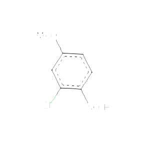 COc1ccc(S(=O)(=O)O)c(Cl)c1